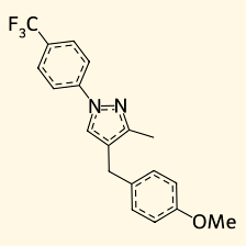 COc1ccc(Cc2cn(-c3ccc(C(F)(F)F)cc3)nc2C)cc1